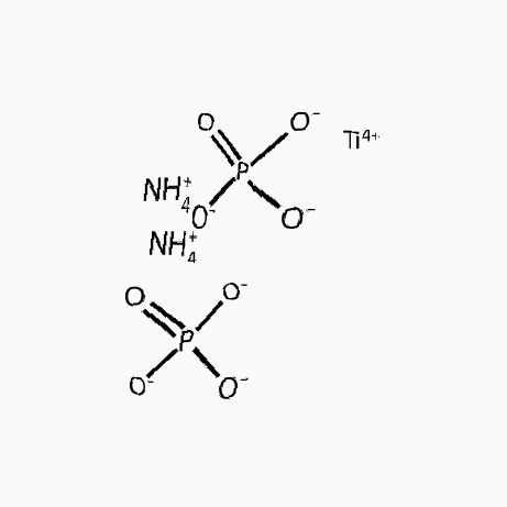 O=P([O-])([O-])[O-].O=P([O-])([O-])[O-].[NH4+].[NH4+].[Ti+4]